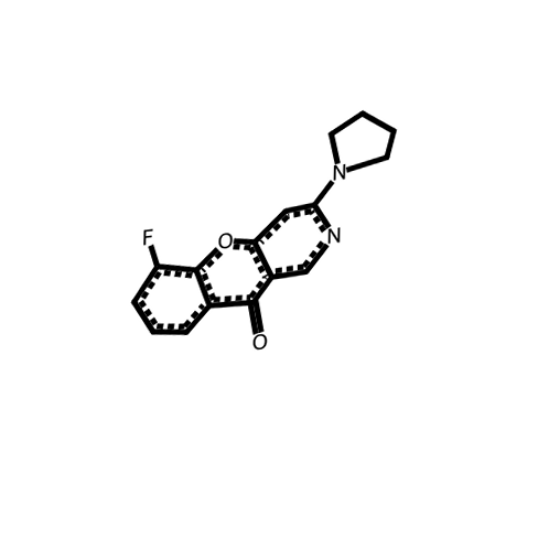 O=c1c2cnc(N3CCCC3)cc2oc2c(F)cccc12